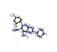 N#Cc1c(-c2ccc(Cl)cc2Cl)nc2nc(-c3cnccn3)nn2c1N